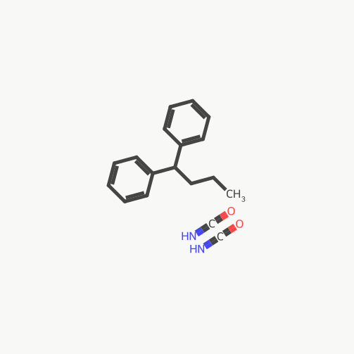 CCCC(c1ccccc1)c1ccccc1.N=C=O.N=C=O